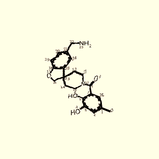 Cc1cc(O)c(O)c(C(=O)N2CCC3(CC2)COc2ccc(CN)cc23)c1